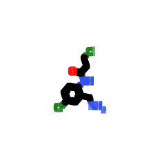 NCc1cc(Cl)ccc1NC(=O)CCCl